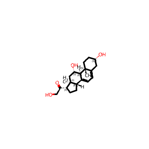 C[C@]12C[C@H](O)[C@@H]3C(=CC=C4C[C@@H](O)CC[C@]43C)[C@@H]1CC[C@@H]2C(=O)CO